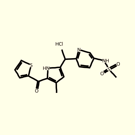 Cc1cc(C(C)c2ccc(NS(C)(=O)=O)cn2)[nH]c1C(=O)c1cccs1.Cl